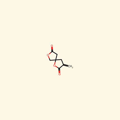 C=C1CC2(COC(=O)C2)OC1=O